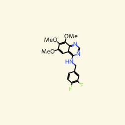 COc1cc2c(NCc3ccc(F)c(F)c3)ncnc2c(OC)c1OC